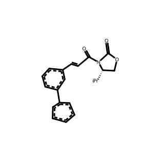 CC(C)[C@H]1COC(=O)N1C(=O)/C=C/c1cccc(-c2ccccc2)c1